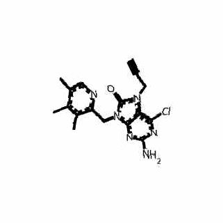 C#CCn1c(=O)n(Cc2ncc(C)c(C)c2C)c2nc(N)nc(Cl)c21